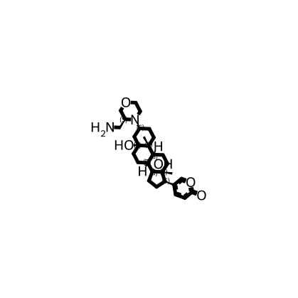 C[C@]12CC[C@H](N3CCOC[C@@H]3CN)C[C@@]1(O)CC[C@@H]1[C@@H]2CC[C@]2(C)[C@@H](c3ccc(=O)oc3)CC[C@]12O